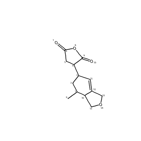 CC1CC(C2CC(=O)OC2=O)C=C2COCC21